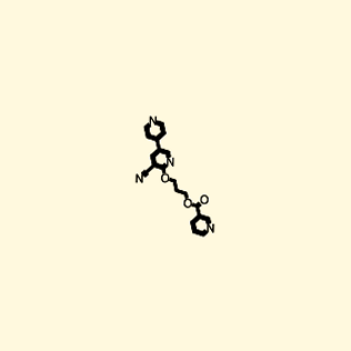 N#Cc1cc(-c2ccncc2)cnc1OCCCOC(=O)c1cccnc1